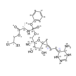 CCC(CC)COC(=O)[C@H](C)NP(=O)(OC[C@@]1(C#N)OC2(C/C2=C\C=C2/NN=CNC2N)[C@H](O)[C@@H]1O)Oc1ccccc1